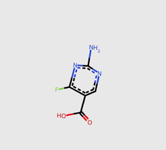 Nc1ncc(C(=O)O)c(F)n1